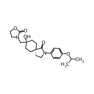 CC(C)Oc1ccc(N2CC[C@]3(CC[C@@](O)(CN4CCOC4=O)CC3)C2=O)cc1